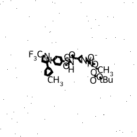 Cc1ccc(-c2cc(C(F)(F)F)nn2-c2ccc(S(=O)(=O)NC(=O)C3CN([N+]([O-])=NOC(C)OC(=O)OC(C)(C)C)C3)cc2)cc1